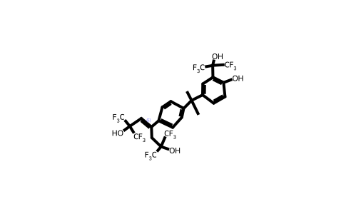 CC(C)(c1ccc(/C(=C/C(O)(C(F)(F)F)C(F)(F)F)CC(O)(C(F)(F)F)C(F)(F)F)cc1)c1ccc(O)c(C(O)(C(F)(F)F)C(F)(F)F)c1